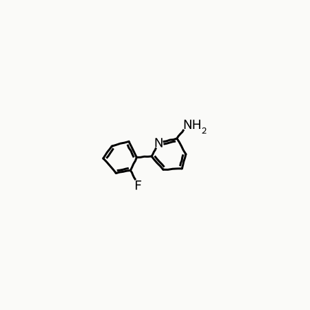 Nc1cccc(-c2ccccc2F)n1